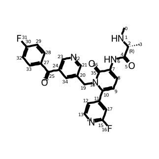 CN[C@H](C)C(=O)Nc1ccc(-c2ccnc(F)c2)n(Cc2cncc(C(=O)c3ccc(F)cc3)c2)c1=O